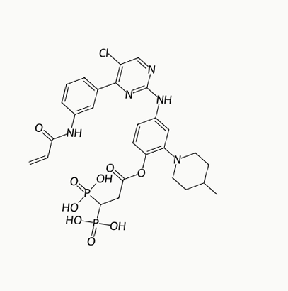 C=CC(=O)Nc1cccc(-c2nc(Nc3ccc(OC(=O)CC(P(=O)(O)O)P(=O)(O)O)c(N4CCC(C)CC4)c3)ncc2Cl)c1